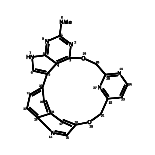 CNc1nc2c3c(c[nH]c3n1)-c1ccc3ncc(cc3c1)OCc1ccnc(n1)CO2